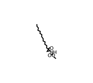 CCCCCCCCCCCCCCC1(C=O)CC1NC(=O)OCC